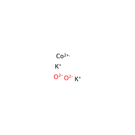 [Co+2].[K+].[K+].[O-2].[O-2]